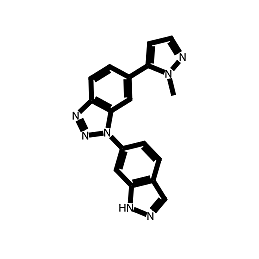 Cn1nccc1-c1ccc2nnn(-c3ccc4cn[nH]c4c3)c2c1